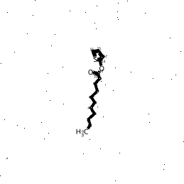 CCCCCCCCCCC(=O)Oc1cccs1